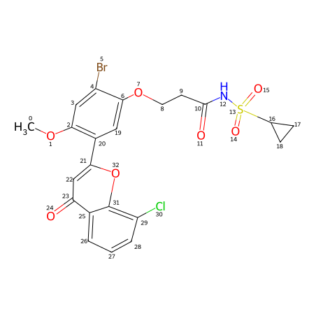 COc1cc(Br)c(OCCC(=O)NS(=O)(=O)C2CC2)cc1-c1cc(=O)c2cccc(Cl)c2o1